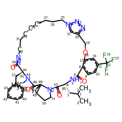 CC(C)C[C@H]1NC(=O)c2ccc(C(F)(F)F)cc2OCc2cn(nn2)CCCCCCCCNC(=O)[C@H](Cc2ccccc2)N(C)C(=O)[C@H]2CCCN2C1=O